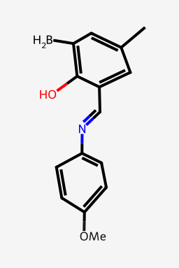 Bc1cc(C)cc(/C=N/c2ccc(OC)cc2)c1O